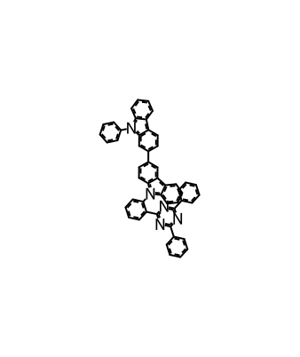 c1ccc(-c2nc(-c3ccccc3)nc(-c3ccccc3-n3c4ccccc4c4cc(-c5ccc6c7ccccc7n(-c7ccccc7)c6c5)ccc43)n2)cc1